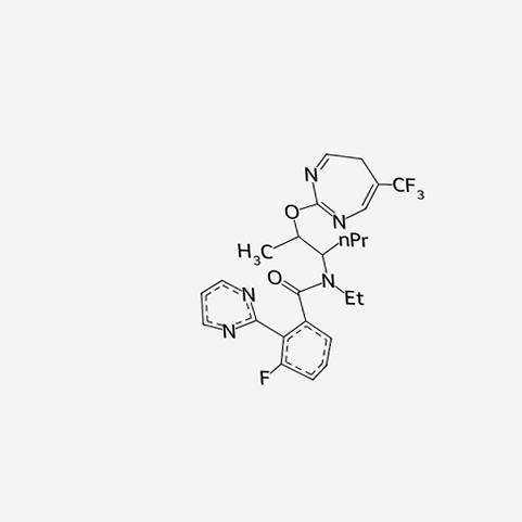 CCCC(C(C)OC1=NC=C(C(F)(F)F)CC=N1)N(CC)C(=O)c1cccc(F)c1-c1ncccn1